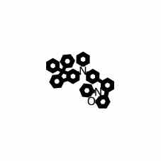 c1ccc(N(c2ccc(-c3cccc4c5cccc6c5n(c34)-c3ccccc3O6)cc2)c2ccc3c(c2)C(c2ccccc2)(c2ccccc2)c2ccccc2-3)cc1